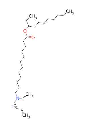 C=C/C=C\N(C=C)CCCCCCCCCCCC(=O)OC(CC)CCCCCCCC